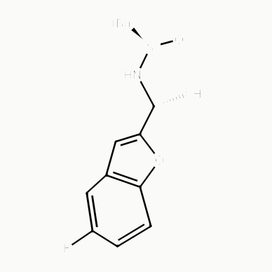 C[C@@H](N[S@+]([O-])C(C)(C)C)c1cc2cc(F)ccc2o1